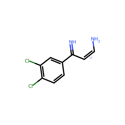 N=C(/C=C\N)c1ccc(Cl)c(Cl)c1